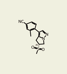 Cc1cc(C#N)ccc1-c1cnn2c1C[C@@H](S(C)(=O)=O)C2